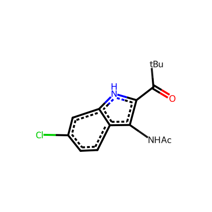 CC(=O)Nc1c(C(=O)C(C)(C)C)[nH]c2cc(Cl)ccc12